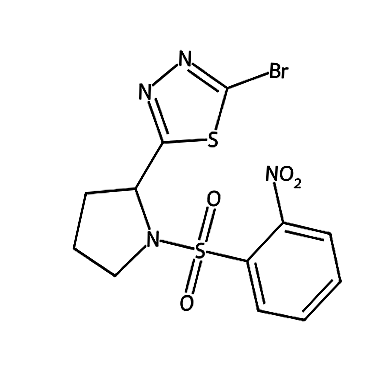 O=[N+]([O-])c1ccccc1S(=O)(=O)N1CCCC1c1nnc(Br)s1